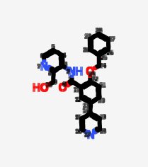 O=C(Nc1cccnc1CO)c1cc(-c2ccncc2)ccc1OCc1ccccc1